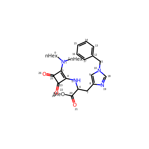 CCCCCCN(CCCCCC)c1c(NC(Cc2cn(Cc3ccccc3)cn2)C(=O)OC)c(=O)c1=O